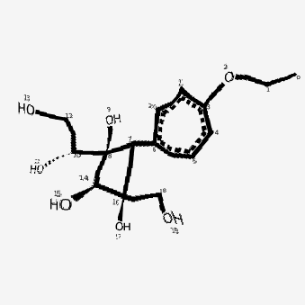 CCOc1ccc(C2[C@@](O)([C@H](O)CO)[C@H](O)[C@@]2(O)CO)cc1